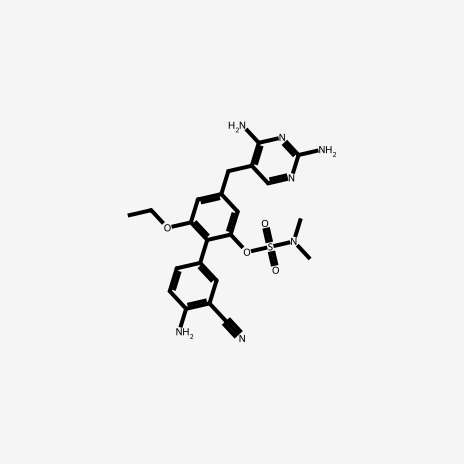 CCOc1cc(Cc2cnc(N)nc2N)cc(OS(=O)(=O)N(C)C)c1-c1ccc(N)c(C#N)c1